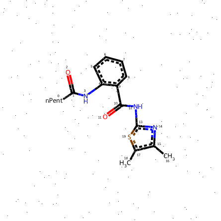 CCCCCC(=O)Nc1ccccc1C(=O)Nc1nc(C)c(C)s1